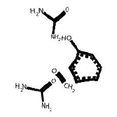 C=O.NC(N)=O.NC(N)=O.Oc1ccccc1